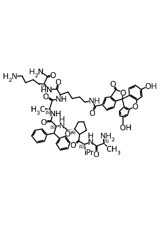 CC(C)[C@H](NC(=O)[C@H](C)N)C(=O)C1CCC[C@H]1C(=O)N[C@H](C(=O)N[C@@H](C)C(=O)NC(CCCCNC(=O)c1ccc2c(c1)C(=O)OC21c2ccc(O)cc2Oc2cc(O)ccc21)C(=O)N[C@@H](CCCCN)C(N)=O)C(c1ccccc1)c1ccccc1